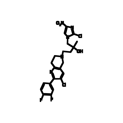 CC(O)(CCN1CCc2nc(-c3ccc(F)c(F)c3)c(Cl)cc2C1)Cn1cc([N+](=O)[O-])nc1Cl